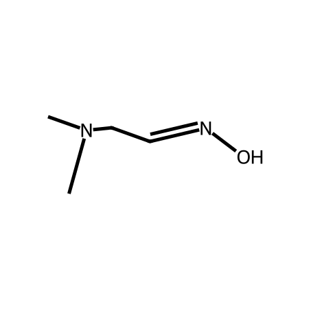 CN(C)CC=NO